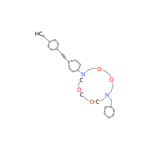 C#Cc1ccc(C#Cc2ccc(N3CCOCCOCCN(Cc4ccccc4)CCOCCOCC3)cc2)cc1